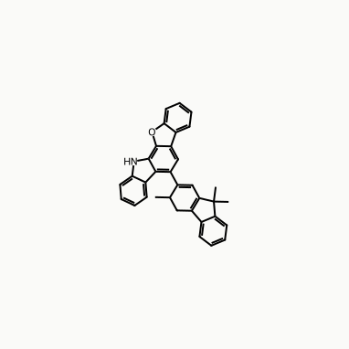 CC1CC2=C(C=C1c1cc3c4ccccc4oc3c3[nH]c4ccccc4c13)C(C)(C)c1ccccc12